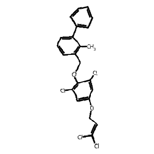 Cc1c(COc2c(Cl)cc(OCC=C(Cl)Cl)cc2Cl)cccc1-c1ccccc1